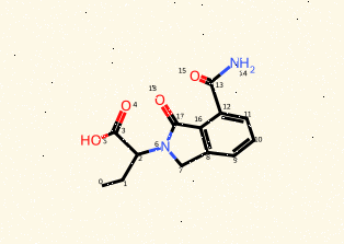 CCC(C(=O)O)N1Cc2cccc(C(N)=O)c2C1=O